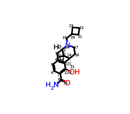 C[C@H]1[C@H]2Cc3ccc(C(N)=O)c(O)c3[C@]1(C)CCN2CC1CCC1